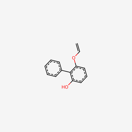 C=COc1cccc(O)c1-c1ccccc1